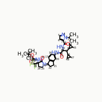 CC(C)n1nccc1C(=O)N[C@H](C(=O)Nc1ccc2c(c1)CC[C@H]2N1CC[C@](NC(=O)OC(C)(C)C)(C(F)(F)F)C1=O)C(C1CC1)C1CC1